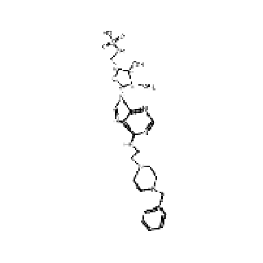 O=S(=O)(O)NC[C@H]1O[C@@H](n2cnc3c(NCCN4CCN(Cc5ccccc5)CC4)ncnc32)[C@H](O)[C@@H]1O